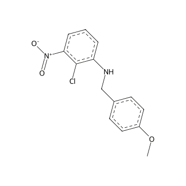 COc1ccc(CNc2cccc([N+](=O)[O-])c2Cl)cc1